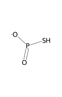 [O][P](=O)S